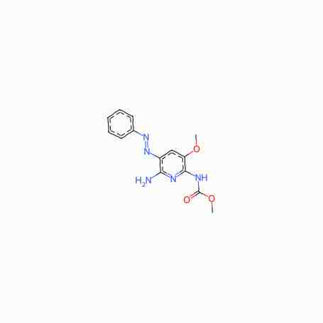 COC(=O)Nc1nc(N)c(/N=N/c2ccccc2)cc1OC